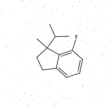 CC(C)C1(C)CCc2cccc(F)c21